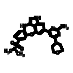 CN(C)S(=O)(=O)c1ccc2c(c1)Oc1cc(-c3cc(N4CCOCC4)nc(N)n3)cc3[nH]nc(c13)N2